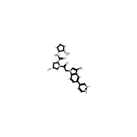 CC(=O)c1cn(CC(=O)N2C[C@H](F)C[C@H]2C(=O)N[C@@H]2CCC[C@H]2O)c2ccc(-c3ccnnc3)cc12